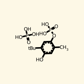 Cc1cc(O)c(C(C)(C)C)cc1OP(=O)(O)O.O=P(O)(O)O